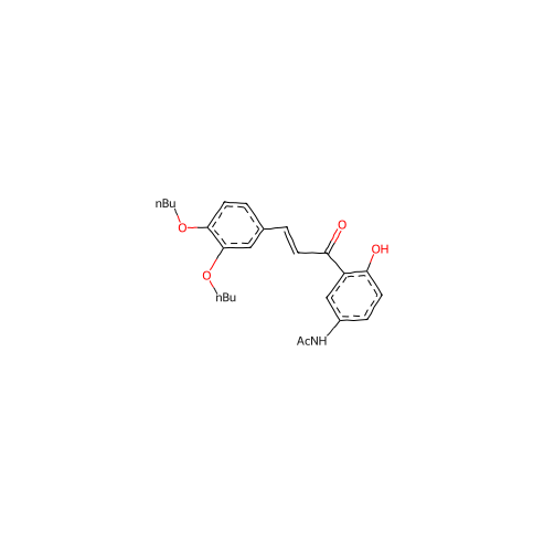 CCCCOc1ccc(/C=C/C(=O)c2cc(NC(C)=O)ccc2O)cc1OCCCC